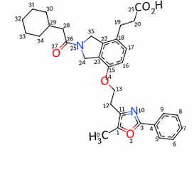 Cc1oc(-c2ccccc2)nc1CCOc1ccc(CCC(=O)O)c2c1CN(C(=O)CC1CCCCC1)C2